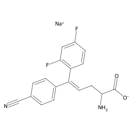 N#Cc1ccc(C(=CCC(N)C(=O)[O-])c2ccc(F)cc2F)cc1.[Na+]